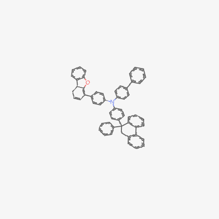 C1=CC(c2ccc(N(c3ccc(-c4ccccc4)cc3)c3ccc(C4(c5ccccc5)Cc5ccccc5-c5ccccc54)cc3)cc2)=C2Oc3ccccc3C2C1